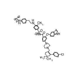 Cc1cc(S(=O)(=O)NC(=O)c2ccc(N3CCN(CC4=C(c5ccc(Cl)cc5)CC(C)(C)CC4)CC3)cc2Oc2ccc3[nH]ccc3c2)ccc1NCCc1ccc(N[SH](=O)=O)cc1